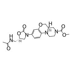 COC(=O)N1CCN2c3ccc(N4C[C@H](CNC(C)=O)OC4=O)cc3OC[C@@H]2C1